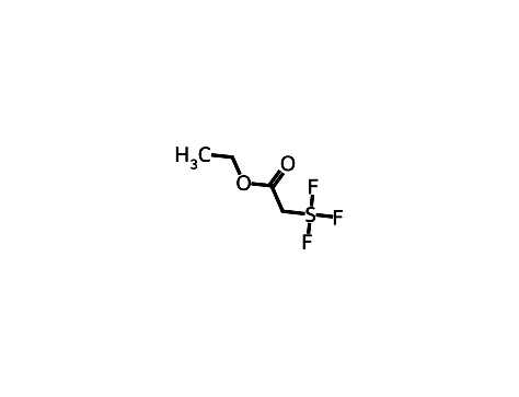 CCOC(=O)CS(F)(F)F